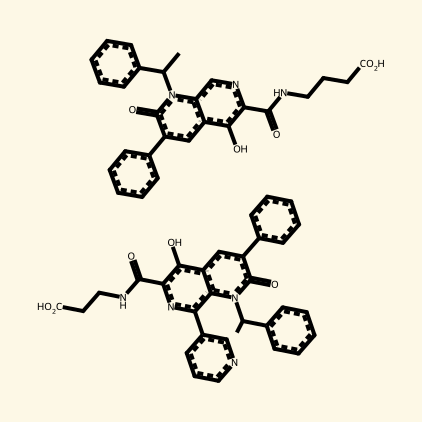 CC(c1ccccc1)n1c(=O)c(-c2ccccc2)cc2c(O)c(C(=O)NCCC(=O)O)nc(-c3cccnc3)c21.CC(c1ccccc1)n1c(=O)c(-c2ccccc2)cc2c(O)c(C(=O)NCCCC(=O)O)ncc21